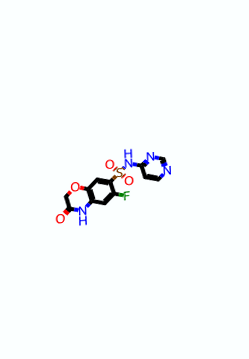 O=C1COc2cc(S(=O)(=O)Nc3ccncn3)c(F)cc2N1